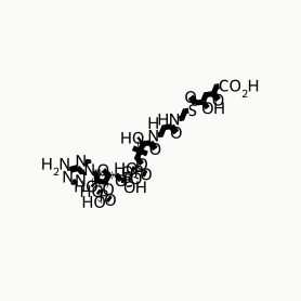 CC(C)(COP(=O)(O)OP(=O)(O)OC[C@H]1O[C@@H](n2cnc3c(N)ncnc32)[C@H](O)[C@@H]1OP(=O)(O)O)[C@@H](O)C(=O)NCCC(=O)NCCSC(=O)C(O)CC(=O)CC(=O)O